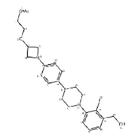 COCCOC1CN(c2ncc(N3CCN(c4cccc(CO)c4F)CC3)cn2)C1